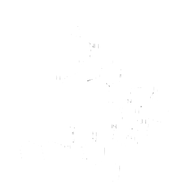 CCC[C@H](NC(=O)[C@@H]1C[C@@H]2CCCC[C@@H]2N1C(=O)[C@@H](NC(=O)[C@@H](NC(=O)C(=O)NCC1CCCCC1)C1CCCCC1)C(C)(C)C)C(=O)C(=O)NC1CC1